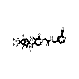 C[C@H]1[C@H]2C[C@H](C[C@H]1Nc1cnn(CC(=O)NCc3ccnc(C#N)c3)c(=O)c1Cl)C2(C)C